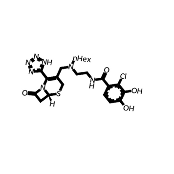 CCCCCCN(CCNC(=O)c1ccc(O)c(O)c1Cl)CC1=C(c2nnn[nH]2)N2C(=O)C[C@H]2SC1